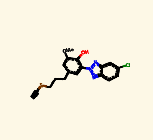 C#CSCCCc1cc(OC)c(O)c(-n2nc3ccc(Cl)cc3n2)c1